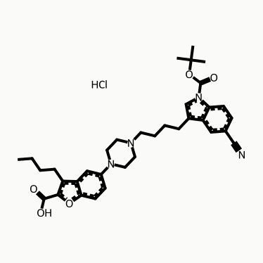 CCCCc1c(C(=O)O)oc2ccc(N3CCN(CCCCc4cn(C(=O)OC(C)(C)C)c5ccc(C#N)cc45)CC3)cc12.Cl